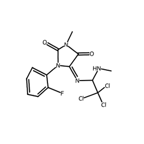 CNC(N=C1C(=O)N(C)C(=O)N1c1ccccc1F)C(Cl)(Cl)Cl